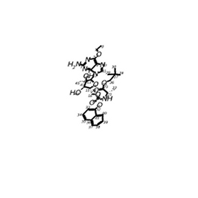 CCOc1nc(N)nc2c1ncn2C1O[C@H](COP(=O)(N[C@@H](C)C(=O)OCC(C)(C)C)Oc2cccc3ccccc23)[C@@H](O)[C@@]1(C)O